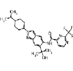 CC(C)C1CCC(n2cc3cc(NC(=O)c4ccnc(C(F)(F)F)n4)c(C(C)(C)O)cc3n2)CC1